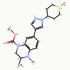 CC(=O)N1c2ccc(-c3cnn(C4CC[S+]([O-])CC4)c3)cc2N(C(=O)OC(C)C)CC1C